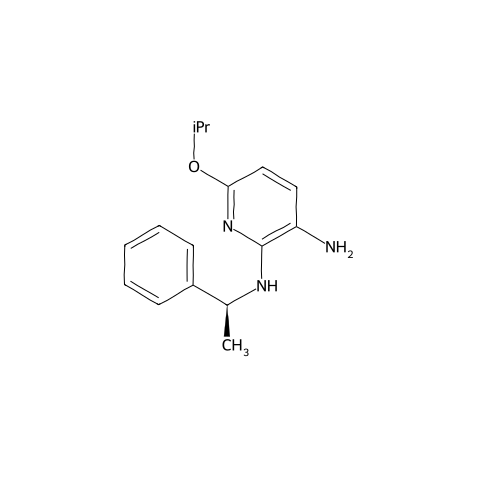 CC(C)Oc1ccc(N)c(N[C@@H](C)c2ccccc2)n1